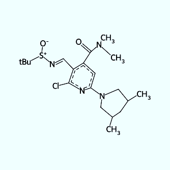 CC1CC(C)CN(c2cc(C(=O)N(C)C)c(C=N[S+]([O-])C(C)(C)C)c(Cl)n2)C1